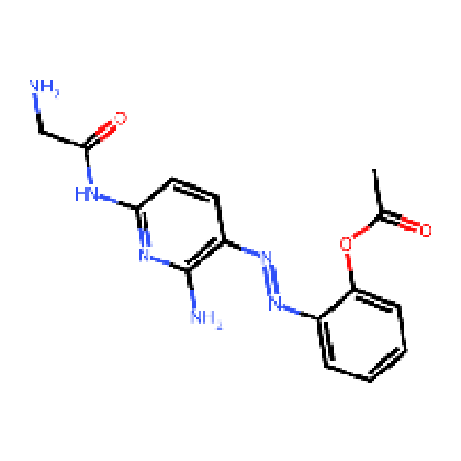 CC(=O)Oc1ccccc1N=Nc1ccc(NC(=O)CN)nc1N